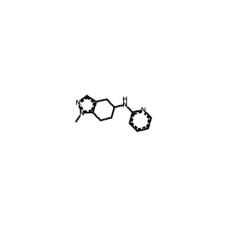 Cn1ncc2c1CCC(Nc1ccccn1)C2